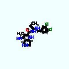 C/C=C(\NCc1ccc(Cl)c(Cl)c1)NC(=O)/C(NC1CCNCC1)=C(\C)C=N